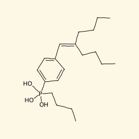 CCCCC(=Cc1ccc(P(O)(O)(O)CCCC)cc1)CCCC